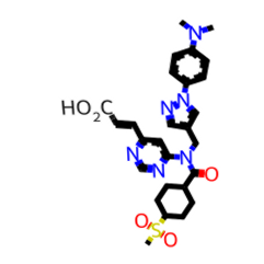 CN(C)c1ccc(-n2cc(CN(C(=O)C3CCC(S(C)(=O)=O)CC3)c3cc(C=CC(=O)O)ncn3)cn2)cc1